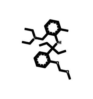 CCN(CC)Cc1cccc(C)c1PC(CC)(CC)c1ccccc1OCOC